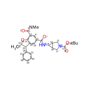 CNC(=O)c1cc(C(=O)NC2C3CN(C(=O)OC(C)(C)C)CC32)cc2c1OC(C)C2c1ccccc1